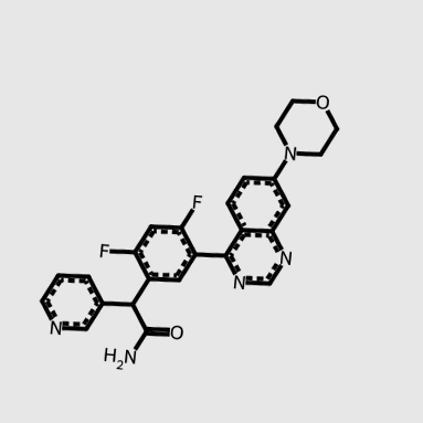 NC(=O)C(c1cccnc1)c1cc(-c2ncnc3cc(N4CCOCC4)ccc23)c(F)cc1F